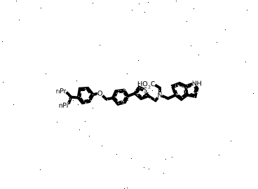 CCCC(CCC)c1ccc(OCc2ccc(-c3csc(CN(CC(=O)O)Cc4ccc5[nH]ccc5c4)c3)cc2)cc1